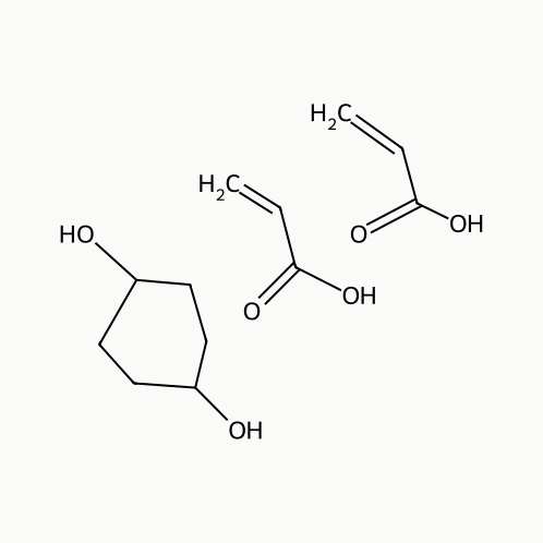 C=CC(=O)O.C=CC(=O)O.OC1CCC(O)CC1